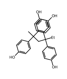 CCC(CC(C)(c1ccc(O)cc1)c1ccc(O)cc1)(c1ccc(O)cc1)c1ccc(O)cc1